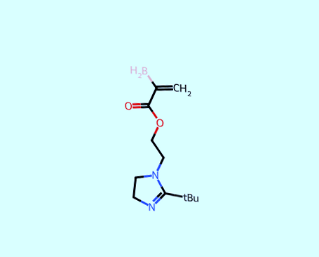 BC(=C)C(=O)OCCN1CCN=C1C(C)(C)C